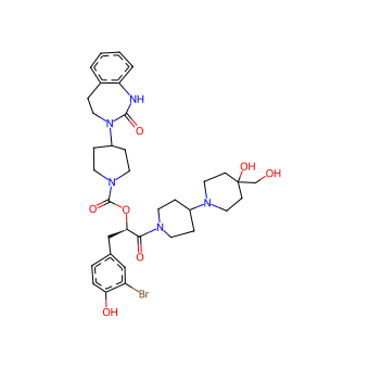 O=C(O[C@H](Cc1ccc(O)c(Br)c1)C(=O)N1CCC(N2CCC(O)(CO)CC2)CC1)N1CCC(N2CCc3ccccc3NC2=O)CC1